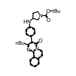 CCCCc1nc2c3ccccc3ccn2c(=O)c1-c1ccc(NC2CCN(C(=O)OC(C)(C)C)C2)cc1